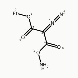 CCOC(=O)C(=[N+]=[N-])C(=O)ON